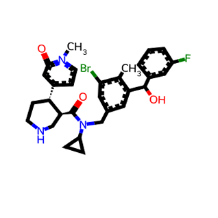 Cc1c(Br)cc(CN(C(=O)[C@H]2CNCC[C@@H]2c2ccn(C)c(=O)c2)C2CC2)cc1C(O)c1cccc(F)c1